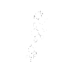 O=C(c1ccc2nccnc2c1)c1c(F)ccc(OCc2ccc(C(F)(F)F)c(Cl)c2)c1Cl